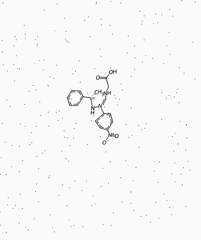 C[C@H](N[N+](=CNCC(=O)O)c1ccc([N+](=O)[O-])cc1)c1ccccc1